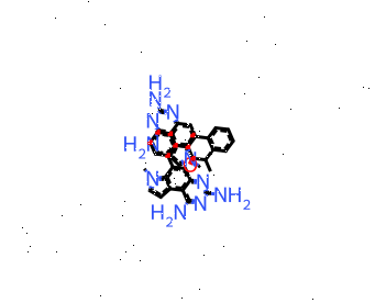 CC(C(=O)C(C)c1ccccc1-c1cc2nc(N)nc(N)c2c2ccn(C)c12)c1ccccc1-c1cc2nc(N)nc(N)c2c2ccn(C)c12